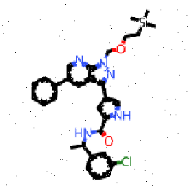 CC(NC(=O)c1cc(-c2nn(COCC[Si](C)(C)C)c3ncc(-c4ccccc4)cc23)c[nH]1)c1cccc(Cl)c1